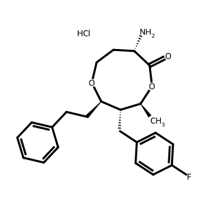 C[C@@H]1OC(=O)[C@@H](N)CCO[C@H](CCc2ccccc2)[C@H]1Cc1ccc(F)cc1.Cl